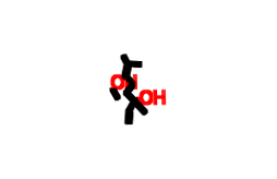 C=CC(C)(O)CCC=C(C)C.CCO